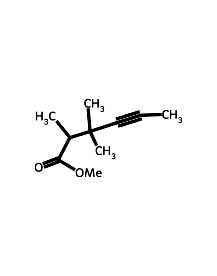 CC#CC(C)(C)C(C)C(=O)OC